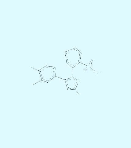 NS(=O)(=O)c1ccccc1-n1nc(C(F)(F)F)cc1-c1ccc(Cl)c(Cl)c1